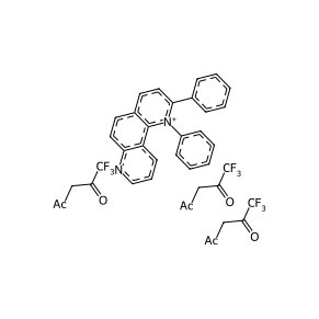 CC(=O)CC(=O)C(F)(F)F.CC(=O)CC(=O)C(F)(F)F.CC(=O)CC(=O)C(F)(F)F.c1ccc(-c2ccc3ccc4ncccc4c3[n+]2-c2ccccc2)cc1